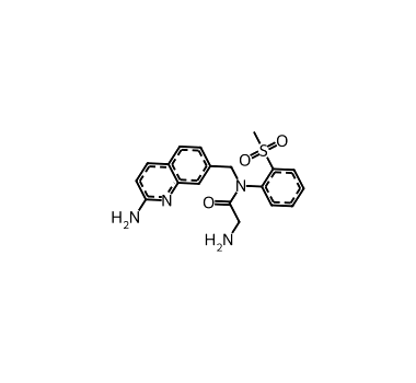 CS(=O)(=O)c1ccccc1N(Cc1ccc2ccc(N)nc2c1)C(=O)CN